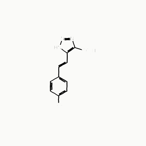 O=C(O)c1nn[nH]c1C=Cc1ccc(C(F)(F)F)cc1